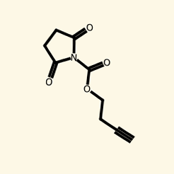 C#CCCOC(=O)N1C(=O)CCC1=O